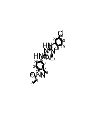 C=CC(=O)n1ncc2cc(Nc3ncnc(Nc4cccc(Cl)c4)n3)ccc21